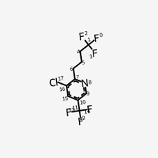 FC(F)(F)CCCc1ncc(C(F)(F)F)cc1Cl